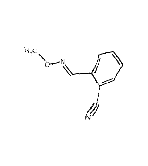 CON=Cc1ccccc1C#N